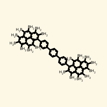 Bc1c(B)c2c(B)c(B)c3c(B)c(B)c(-c4ccc(-c5ccc(-c6ccc(-c7c(B)c(B)c8c(B)c(B)c9c(B)c(B)c(B)c%10c(B)c(B)c7c8c9%10)cc6)cc5)cc4)c4c(B)c(B)c(c1B)c2c34